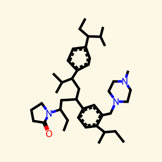 CCC(C)c1ccc(C(CC(c2ccc(C(CC)C(C)C)cc2)C(C)C)CC(CC)N2CCCC2=O)cc1CN1CCN(C)CC1